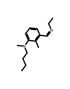 CCCCN(C)c1cccc(/C=N\CC)c1C